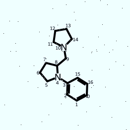 [c]1ccc(N2CCCC2CN2CCCC2)cc1